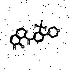 O=c1[nH]ccc2ccnc(Nc3ccc(N4CCOCC4)c(C(F)(F)F)c3)c12